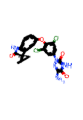 CC1C[C@]12C(=O)Nc1ccc(Oc3c(Cl)cc(-n4nc(N)c(=O)[nH]c4=O)cc3Cl)cc12